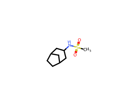 CS(=O)(=O)NC1CC2CCC(C2)C1